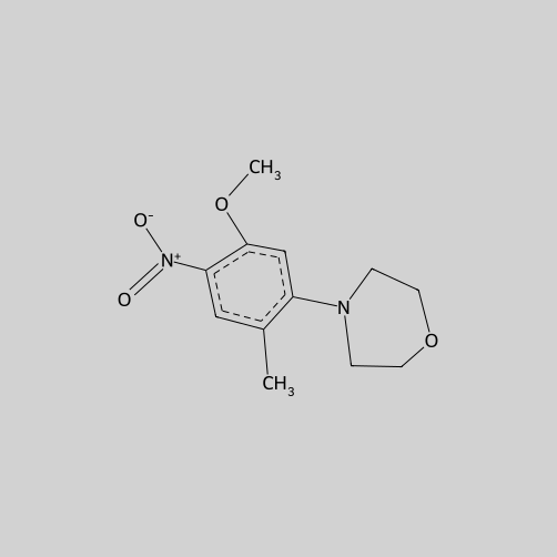 COc1cc(N2CCOCC2)c(C)cc1[N+](=O)[O-]